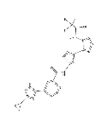 CC(C(O)C(F)(F)F)n1cnnc1-c1cc(NC(=O)c2cc(-c3nc(C4CC4)c[nH]3)ccn2)cs1